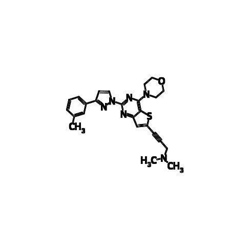 Cc1cccc(-c2ccn(-c3nc(N4CCOCC4)c4sc(C#CCN(C)C)cc4n3)n2)c1